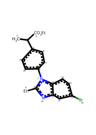 CCOC(=O)C(C)c1ccc(-n2c(CC)nc3cc(Br)ccc32)cc1